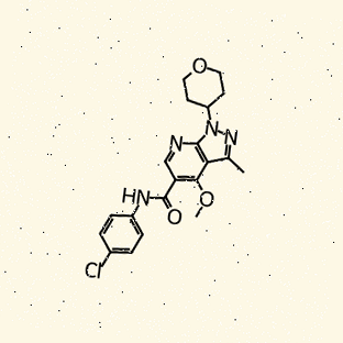 COc1c(C(=O)Nc2ccc(Cl)cc2)cnc2c1c(C)nn2C1CCOCC1